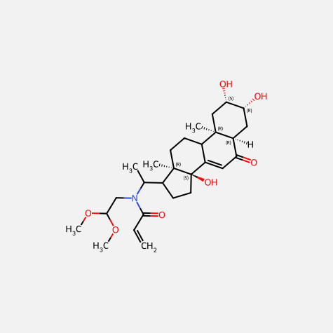 C=CC(=O)N(CC(OC)OC)C(C)C1CC[C@@]2(O)C3=CC(=O)[C@@H]4C[C@@H](O)[C@@H](O)C[C@]4(C)C3CC[C@]12C